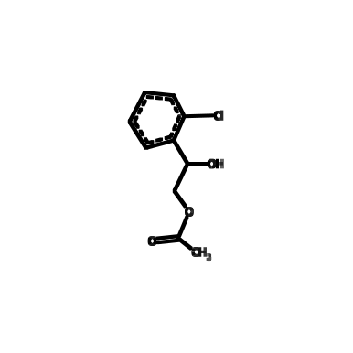 CC(=O)OCC(O)c1ccccc1Cl